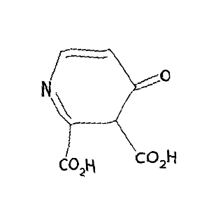 O=C(O)C1=NC=CC(=O)C1C(=O)O